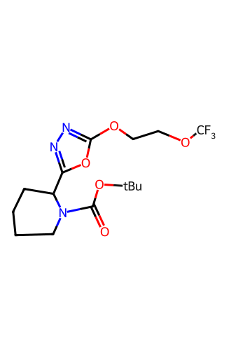 CC(C)(C)OC(=O)N1CCCCC1c1nnc(OCCOC(F)(F)F)o1